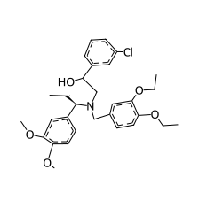 C[CH][C@H](c1ccc(OC)c(OC)c1)N(Cc1ccc(OCC)c(OCC)c1)CC(O)c1cccc(Cl)c1